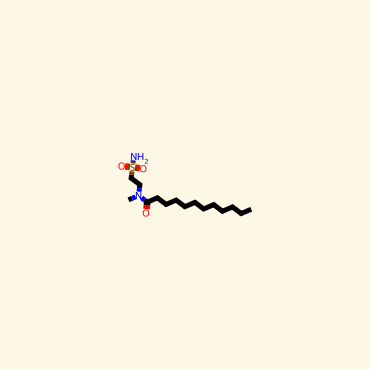 CCCCCCCCCCCC(=O)N(C)CCS(N)(=O)=O